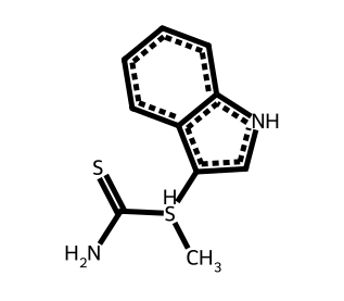 C[SH](C(N)=S)c1c[nH]c2ccccc12